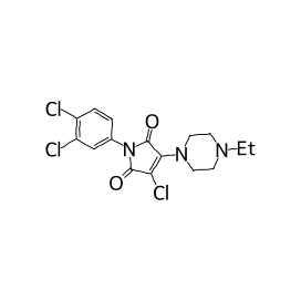 CCN1CCN(C2=C(Cl)C(=O)N(c3ccc(Cl)c(Cl)c3)C2=O)CC1